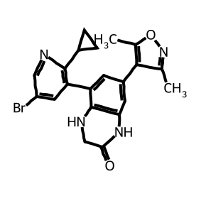 Cc1noc(C)c1-c1cc2c(c(-c3cc(Br)cnc3C3CC3)c1)NCC(=O)N2